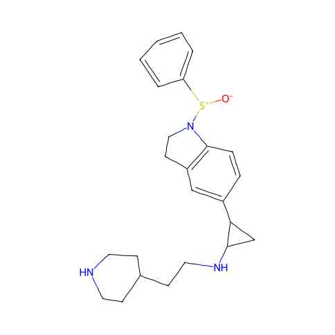 [O-][S+](c1ccccc1)N1CCc2cc(C3CC3NCCC3CCNCC3)ccc21